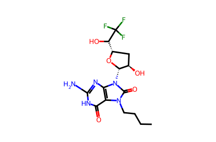 CCCCn1c(=O)n([C@@H]2O[C@H](C(O)C(F)(F)F)C[C@H]2O)c2nc(N)[nH]c(=O)c21